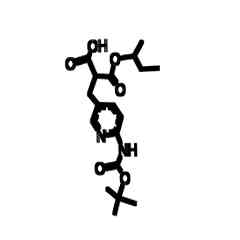 CCC(C)OC(=O)C(Cc1ccc(NC(=O)OC(C)(C)C)nc1)C(=O)O